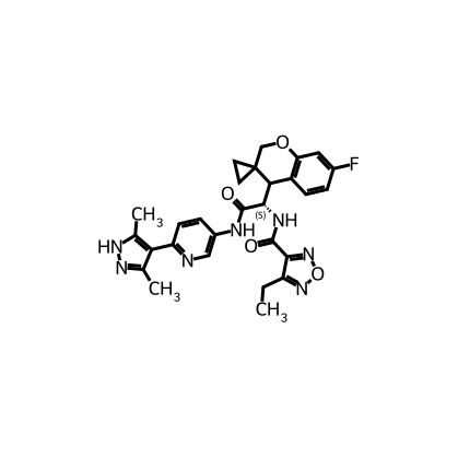 CCc1nonc1C(=O)N[C@H](C(=O)Nc1ccc(-c2c(C)n[nH]c2C)nc1)C1c2ccc(F)cc2OCC12CC2